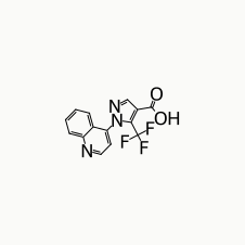 O=C(O)c1cnn(-c2ccnc3ccccc23)c1C(F)(F)F